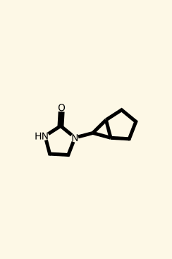 O=C1NCCN1C1C2CCCC21